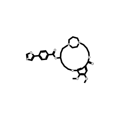 COc1cc2cc(c1OC)OCCCC(OC(=O)c1ccc(-c3cnco3)cc1)CCN1CCCN(CCCOC2=O)CC1